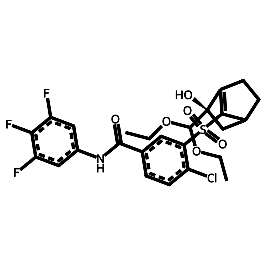 CCOC(OCC)[C@@]1(O)CC2CCC1=C2S(=O)(=O)c1cc(C(=O)Nc2cc(F)c(F)c(F)c2)ccc1Cl